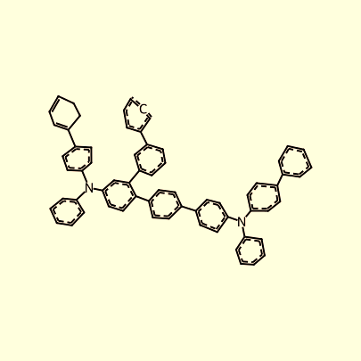 C1=CCCC(c2ccc(N(c3ccccc3)c3ccc(-c4ccc(-c5ccc(N(c6ccccc6)c6ccc(-c7ccccc7)cc6)cc5)cc4)c(-c4cccc(-c5ccccc5)c4)c3)cc2)=C1